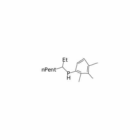 CCCCCC(CC)Pc1ccc(C)c(C)c1C